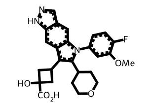 COc1cc(-n2c(C3CCOCC3)c(C3CC(O)(C(=O)O)C3)c3cc4[nH]ncc4cc32)ccc1F